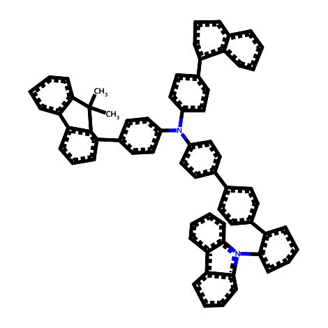 CC1(C)c2ccccc2-c2cccc(-c3ccc(N(c4ccc(-c5ccc(-c6ccccc6-n6c7ccccc7c7ccccc76)cc5)cc4)c4ccc(-c5cccc6ccccc56)cc4)cc3)c21